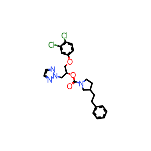 O=C(OC(COc1ccc(Cl)c(Cl)c1)Cn1nccn1)N1CCC(CCc2ccccc2)C1